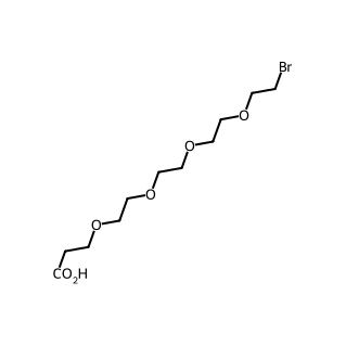 O=C(O)CCOCCOCCOCCOCCBr